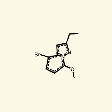 CCc1cc2c(Br)ccc(OC)n2n1